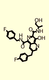 CC(CO)NC(=O)c1nc(C(=O)NCc2ccc(F)cc2)c2cc(Cc3ccc(F)cc3)cnc2c1O